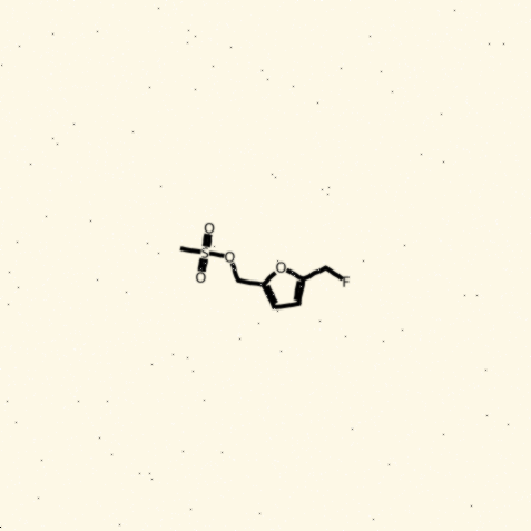 CS(=O)(=O)OCc1ccc(CF)o1